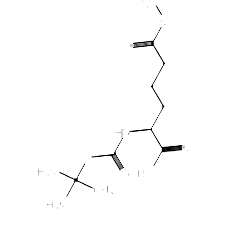 COC(=O)CCCC(NC(=O)OC(C)(C)C)C(=O)O